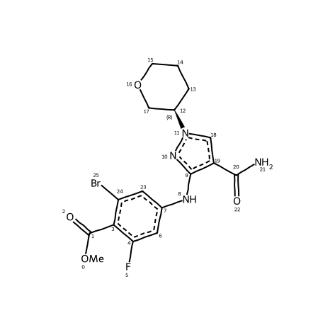 COC(=O)c1c(F)cc(Nc2nn([C@@H]3CCCOC3)cc2C(N)=O)cc1Br